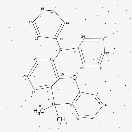 CC1(C)c2ccc[c]c2Oc2c(P(c3ccccc3)c3ccccc3)cccc21